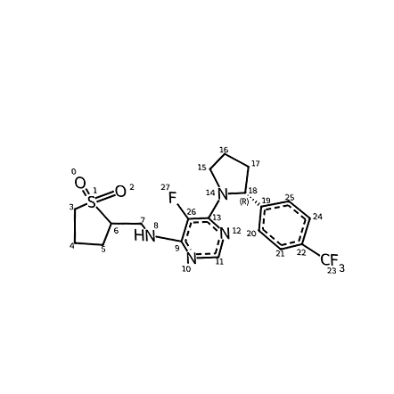 O=S1(=O)CCCC1CNc1ncnc(N2CCC[C@@H]2c2ccc(C(F)(F)F)cc2)c1F